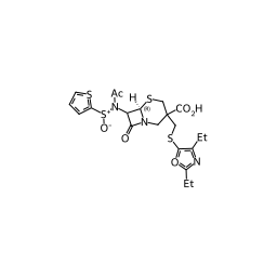 CCc1nc(CC)c(SCC2(C(=O)O)CS[C@@H]3C(N(C(C)=O)[S+]([O-])c4cccs4)C(=O)N3C2)o1